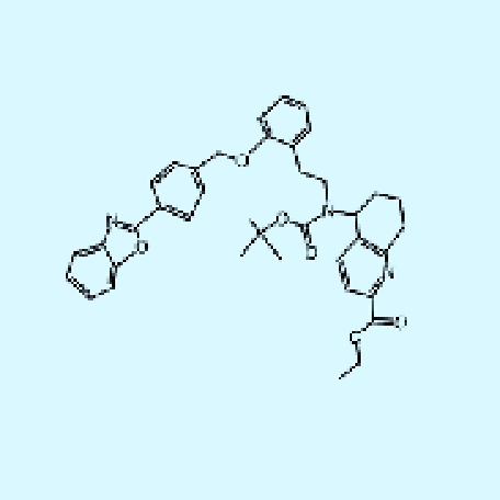 CCOC(=O)c1ccc2c(n1)CCCC2N(CCc1ccccc1OCc1ccc(-c2nc3ccccc3o2)cc1)C(=O)OC(C)(C)C